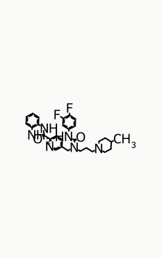 CC1CCN(CCCN(Cc2ccc(C(=O)Nc3ccccc3N)nc2)C(=O)Nc2ccc(F)c(F)c2)CC1